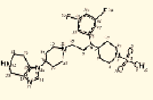 CS(=O)(=O)N1CCC([C@@H](CCN2CCC(n3cnc4c3CCNC4)CC2)c2cc(F)cc(F)c2)CC1